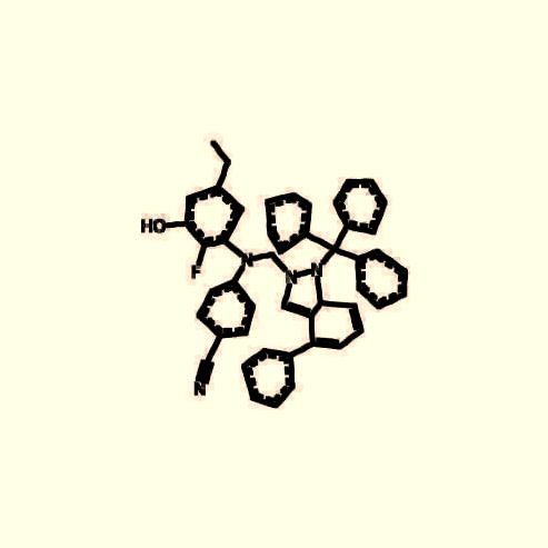 CCc1cc(O)c(F)c(N(CN2C=C3C(c4ccccc4)=CC=CC3N2C(c2ccccc2)(c2ccccc2)c2ccccc2)c2ccc(C#N)cc2)c1